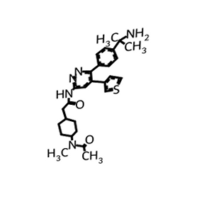 CC(=O)N(C)C1CCC(CC(=O)Nc2cc(-c3ccsc3)c(-c3ccc(C(C)(C)N)cc3)nn2)CC1